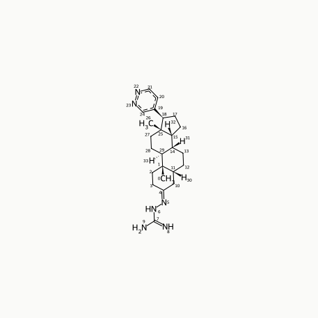 C[C@]12CCC(=NNC(=N)N)C[C@H]1CC[C@H]1[C@H]3CC[C@H](c4ccnnc4)[C@@]3(C)CC[C@@H]12